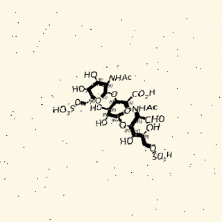 CC(=O)N[C@H]1[C@H](O[C@H]2[C@H](O)[C@@H](O)[C@H](O[C@@H]([C@@H](O)[C@H](O)COS(=O)(=O)O)[C@H](C=O)NC(C)=O)O[C@@H]2C(=O)O)O[C@H](COS(=O)(=O)O)[C@H](O)[C@@H]1O